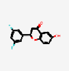 O=C1CC(c2cc(F)cc(F)c2)Oc2ccc(O)cc21